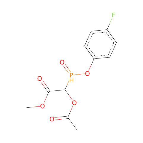 COC(=O)C(OC(C)=O)[PH](=O)Oc1ccc(F)cc1